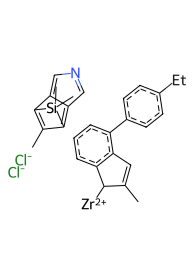 CC1=C2C3=CN=CC3=C1[Si]2(C)C.CCc1ccc(-c2cccc3c2C=C(C)[CH]3[Zr+2])cc1.[Cl-].[Cl-]